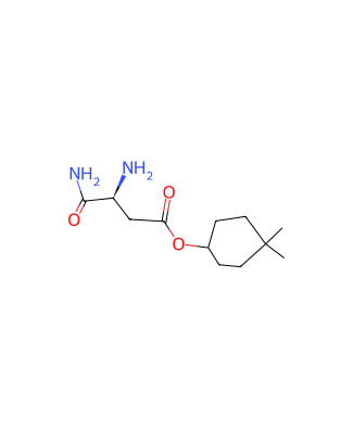 CC1(C)CCC(OC(=O)C[C@H](N)C(N)=O)CC1